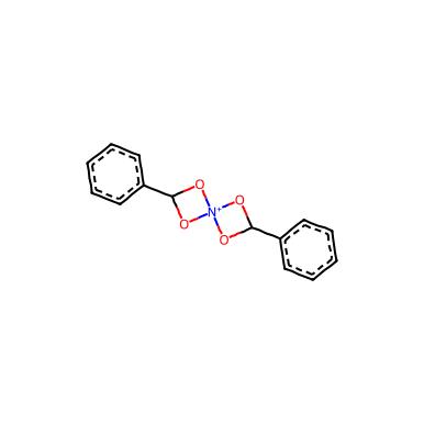 c1ccc(C2O[N+]3(O2)OC(c2ccccc2)O3)cc1